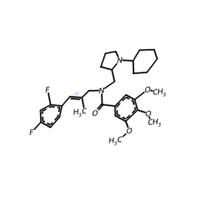 COc1cc(C(=O)N(C/C(C)=C/c2ccc(F)cc2F)CC2CCCN2C2CCCCC2)cc(OC)c1OC